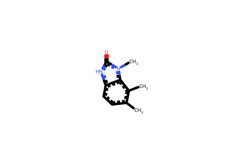 Cc1ccc2[nH]c(=O)n(C)c2c1C